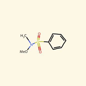 CON(C)S(=O)(=O)c1ccccc1